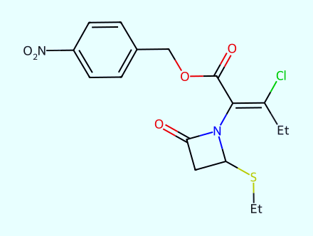 CCSC1CC(=O)N1C(C(=O)OCc1ccc([N+](=O)[O-])cc1)=C(Cl)CC